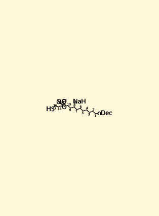 CCCCCCCCCCCCCCCCCCCCOS(=O)(=O)CCS.[NaH]